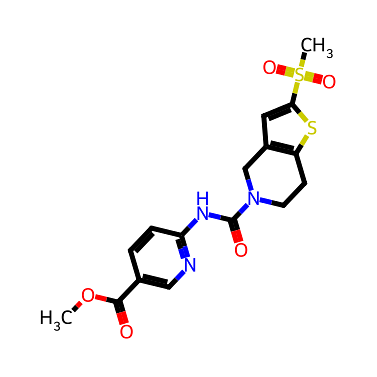 COC(=O)c1ccc(NC(=O)N2CCc3sc(S(C)(=O)=O)cc3C2)nc1